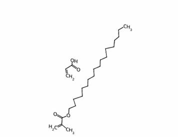 C=C(C)C(=O)OCCCCCCCCCCCCCCCCCC.C=CC(=O)O